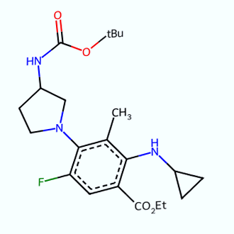 CCOC(=O)c1cc(F)c(N2CCC(NC(=O)OC(C)(C)C)C2)c(C)c1NC1CC1